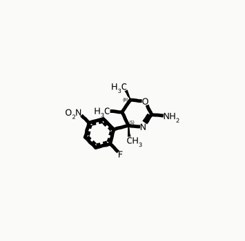 CC1[C@@H](C)OC(N)=N[C@]1(C)c1cc([N+](=O)[O-])ccc1F